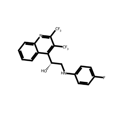 O[C@@H](CNc1ccc(F)cc1)c1c(C(F)(F)F)c(C(F)(F)F)nc2ccccc12